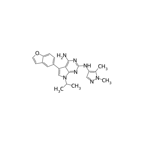 Cc1c(Nc2nc(N)c3c(-c4ccc5occc5c4)cn(C(C)C)c3n2)cnn1C